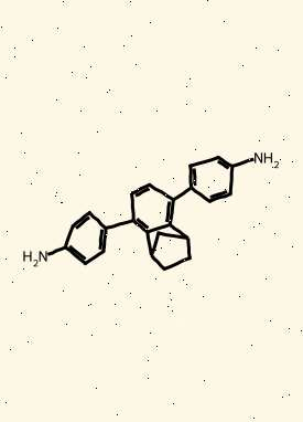 Nc1ccc(-c2ccc(-c3ccc(N)cc3)c3c2C2CCC3C2)cc1